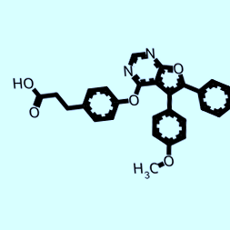 COc1ccc(-c2c(-c3ccccc3)oc3ncnc(Oc4ccc(CCC(=O)O)cc4)c23)cc1